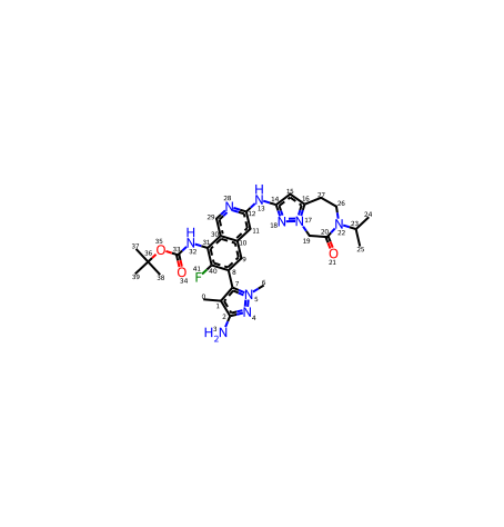 Cc1c(N)nn(C)c1-c1cc2cc(Nc3cc4n(n3)CC(=O)N(C(C)C)CC4)ncc2c(NC(=O)OC(C)(C)C)c1F